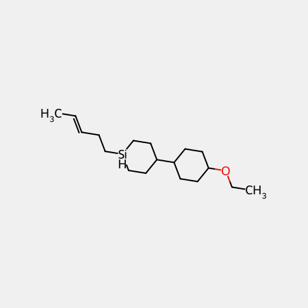 CC=CCC[SiH]1CCC(C2CCC(OCC)CC2)CC1